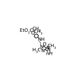 CCCc1nn(C)c2c(=O)n(CCCNc3ccc(OC(C)(C)C(=O)OCC)cc3)c(C)nc12